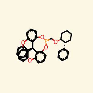 c1ccc([C@H]2CCCC[C@@H]2OCP2Oc3cccc4c3C3(c5ccccc5O4)c4ccccc4Oc4cccc(c43)O2)cc1